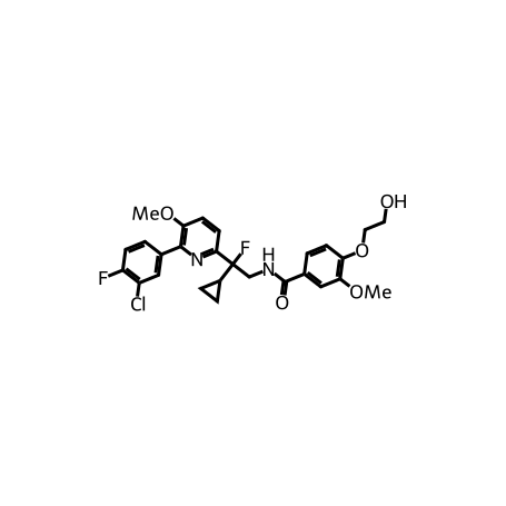 COc1cc(C(=O)NCC(F)(c2ccc(OC)c(-c3ccc(F)c(Cl)c3)n2)C2CC2)ccc1OCCO